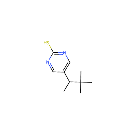 CC(c1cnc(S)nc1)C(C)(C)C